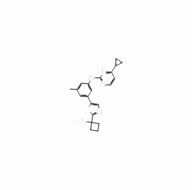 Cc1cc(Nc2nccc(C3CC3)n2)cc(-c2cnc(C3(N)CCC3)s2)c1